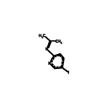 CC(C)=Nc1ccc(I)cn1